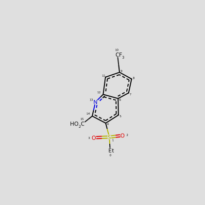 CCS(=O)(=O)c1cc2ccc(C(F)(F)F)cc2nc1C(=O)O